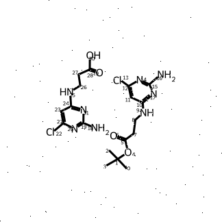 CC(C)(C)OC(=O)CCNc1cc(Cl)nc(N)n1.Nc1nc(Cl)cc(NCCC(=O)O)n1